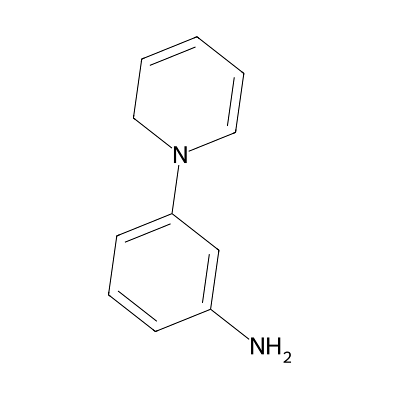 Nc1cccc(N2C=CC=CC2)c1